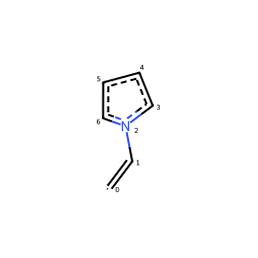 [CH]=Cn1cccc1